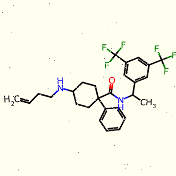 C=CCCNC1CCC(C(=O)NC(C)c2cc(C(F)(F)F)cc(C(F)(F)F)c2)(c2ccccc2)CC1